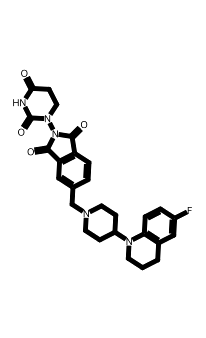 O=C1CCN(N2C(=O)c3ccc(CN4CCC(N5CCCc6cc(F)ccc65)CC4)cc3C2=O)C(=O)N1